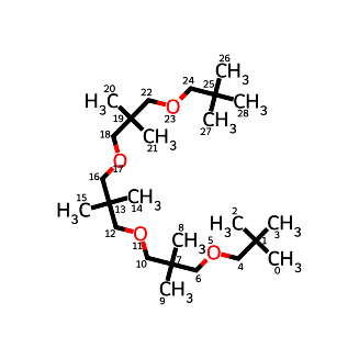 CC(C)(C)COCC(C)(C)COCC(C)(C)COCC(C)(C)COCC(C)(C)C